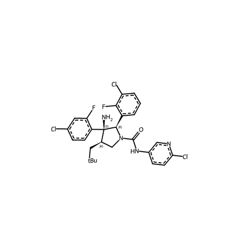 CC(C)(C)C[C@@H]1CN(C(=O)Nc2ccc(Cl)nc2)[C@H](c2cccc(Cl)c2F)[C@@]1(N)c1ccc(Cl)cc1F